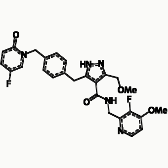 COCc1n[nH]c(Cc2ccc(Cn3cc(F)ccc3=O)cc2)c1C(=O)NCc1nccc(OC)c1F